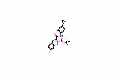 CC(C)(C)OC(=O)N[C@@H](Cc1ccc(F)cc1)C(=O)Nc1ccc(C2CC2)cc1F